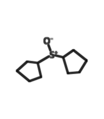 [O-][S+](C1CCCC1)C1CCCC1